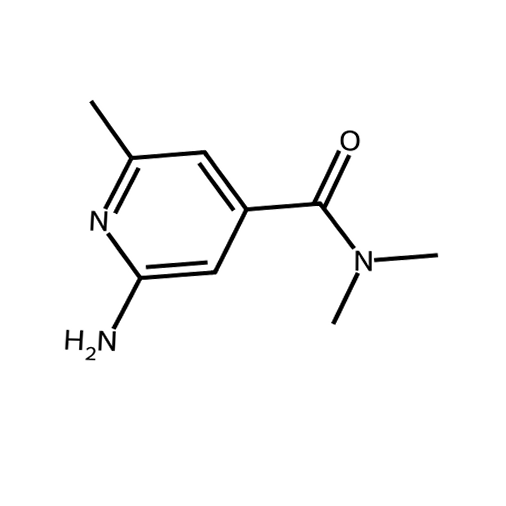 Cc1cc(C(=O)N(C)C)cc(N)n1